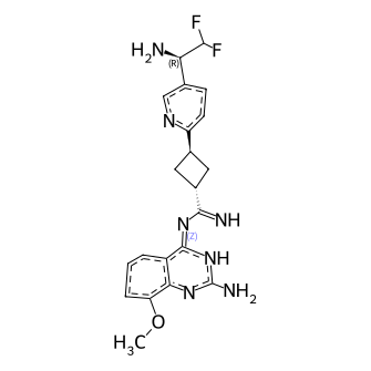 COc1cccc2/c(=N/C(=N)[C@H]3C[C@H](c4ccc([C@@H](N)C(F)F)cn4)C3)[nH]c(N)nc12